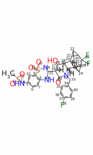 CS(=O)(=O)Nc1ccc2c(c1)S(=O)(=O)N=C(C1=C(O)[C@@H]3C4C5C6C(C7C4[C@H]7C(F)(F)C56)[C@@H]3N(Cc3ccc(F)cc3)C1=O)N2